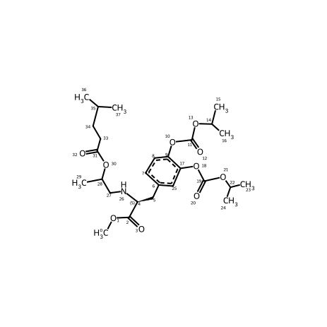 COC(=O)[C@H](Cc1ccc(OC(=O)OC(C)C)c(OC(=O)OC(C)C)c1)NCC(C)OC(=O)CCC(C)C